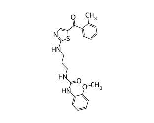 COc1ccccc1NC(=O)NCCCNc1ncc(C(=O)c2ccccc2C)s1